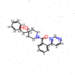 O=C(c1ccccc1-c1ccncn1)N1CCC(O)(Cc2ccccc2)CC1